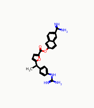 CC(c1ccc(NC(=N)N)cc1)c1ccc(C(=O)Oc2ccc3cc(C(=N)N)ccc3c2)o1